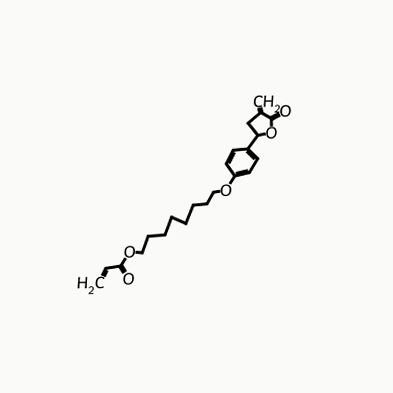 C=CC(=O)OCCCCCCCCOc1ccc(C2CC(=C)C(=O)O2)cc1